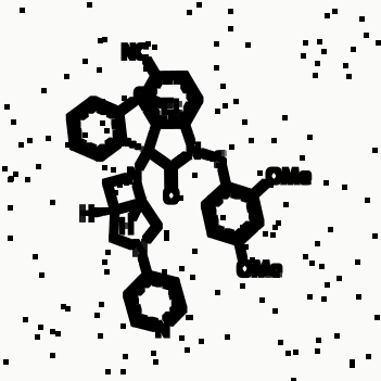 CCOc1ccccc1[C@@]1(N2C[C@H]3CN(c4ccncc4)C[C@H]32)C(=O)N(Sc2ccc(OC)cc2OC)c2ccc(C#N)cc21